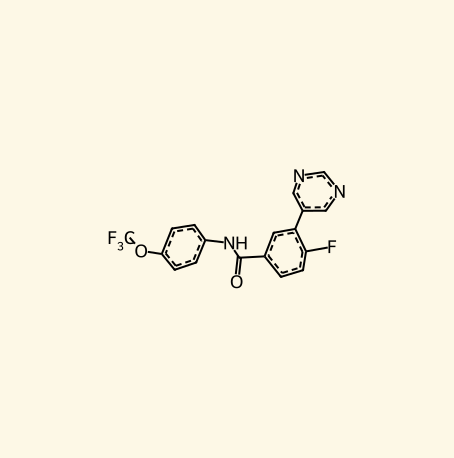 O=C(Nc1ccc(OC(F)(F)F)cc1)c1ccc(F)c(-c2cncnc2)c1